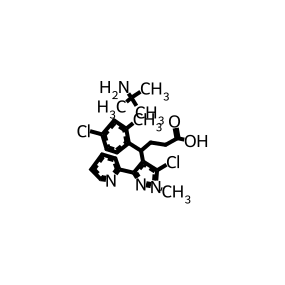 CC(C)(C)N.Cc1cc(Cl)ccc1C(CCC(=O)O)c1c(-c2ccccn2)nn(C)c1Cl